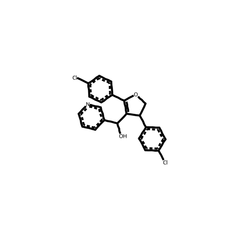 OC(C1=C(c2ccc(Cl)cc2)OCC1c1ccc(Cl)cc1)c1cccnc1